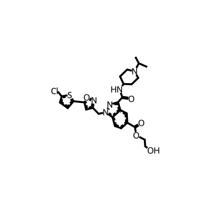 CC(C)N1CCC(NC(=O)c2nn(Cc3cc(-c4ccc(Cl)s4)on3)c3ccc(C(=O)OCCO)cc23)CC1